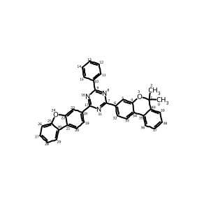 CC1(C)Oc2cc(-c3nc(-c4ccccc4)nc(-c4ccc5c(c4)oc4ccccc45)n3)ccc2-c2ccccc21